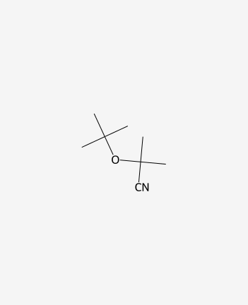 CC(C)(C)OC(C)(C)C#N